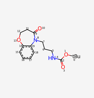 CC(C)(C)OC(=O)NCCCN1C(=O)CCOc2ccccc21